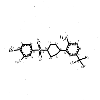 Nc1ncc(C(F)(F)F)cc1C1CCC(S(=O)(=O)c2ccc(Br)c(F)c2)CC1